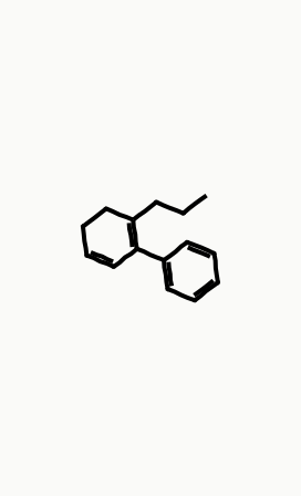 CCCC1=C(c2ccccc2)C=CCC1